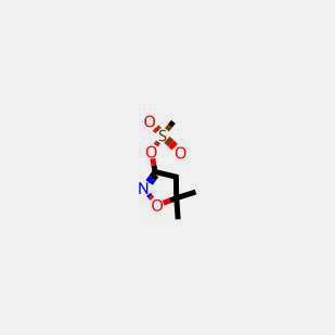 CC1(C)CC(OS(C)(=O)=O)=NO1